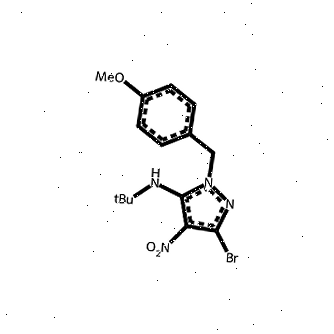 COc1ccc(Cn2nc(Br)c([N+](=O)[O-])c2NC(C)(C)C)cc1